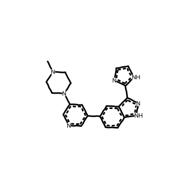 CN1CCN(c2cncc(-c3ccc4[nH]nc(-c5ncc[nH]5)c4c3)c2)CC1